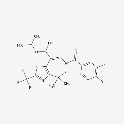 CC(C)OC(O)C1=CN(C(=O)c2ccc(F)c(F)c2)CC(C)(C)c2nc(C(F)(F)F)sc21